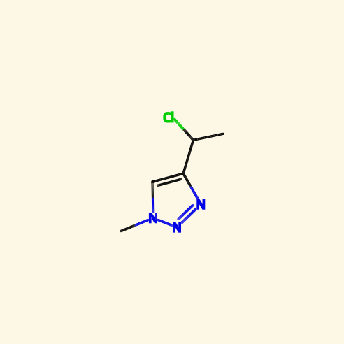 CC(Cl)c1cn(C)nn1